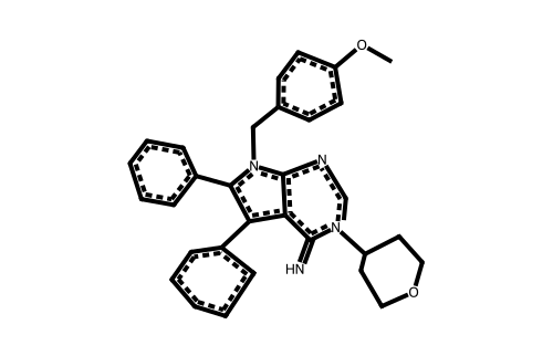 COc1ccc(Cn2c(-c3ccccc3)c(-c3ccccc3)c3c(=N)n(C4CCOCC4)cnc32)cc1